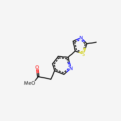 COC(=O)Cc1ccc(-c2cnc(C)s2)nc1